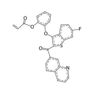 C=CC(=O)Oc1ccccc1Oc1c(C(=O)c2ccc3cccnc3c2)sc2cc(F)ccc12